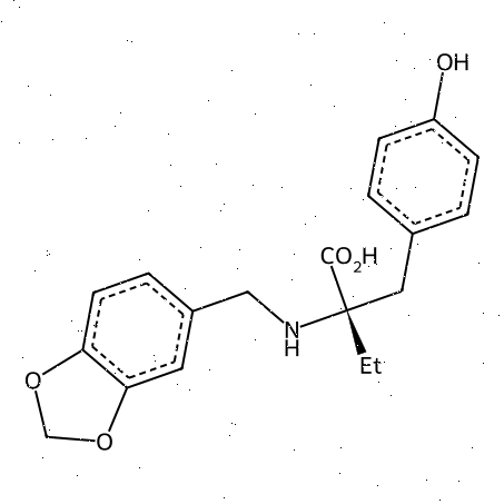 CC[C@@](Cc1ccc(O)cc1)(NCc1ccc2c(c1)OCO2)C(=O)O